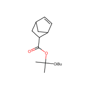 CC(C)COC(C)(C)OC(=O)C1CC2C=CC1C2